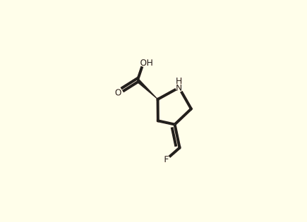 O=C(O)[C@@H]1CC(=CF)CN1